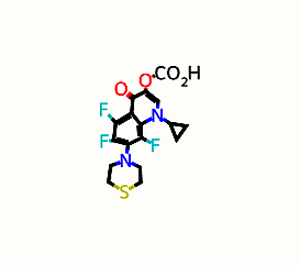 O=C(O)Oc1cn(C2CC2)c2c(F)c(N3CCSCC3)c(F)c(F)c2c1=O